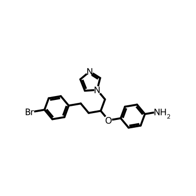 Nc1ccc(OC(CCc2ccc(Br)cc2)Cn2ccnc2)cc1